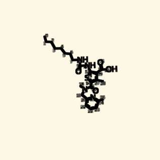 CCCCCCCCNC(=O)Nc1sc(C(=O)N(C)Cc2cccc(C)n2)c(C)c1C(=O)O